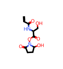 C=CC(=O)NC(CO)C(=O)ON1C(=O)CCC1O